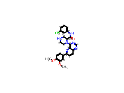 COc1ccc(-c2ccc3ncnc(N4CCNCC4C(=O)Nc4cccc(Cl)c4)c3n2)cc1OC